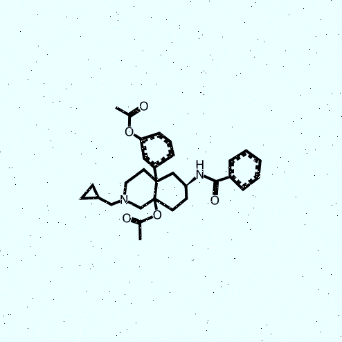 CC(=O)Oc1cccc(C23CCN(CC4CC4)CC2(OC(C)=O)CC[C@H](NC(=O)c2ccccc2)C3)c1